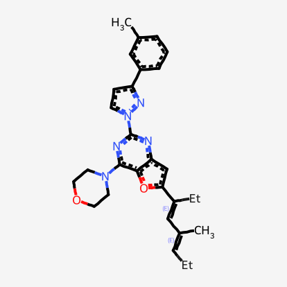 CC/C=C(C)/C=C(\CC)c1cc2nc(-n3ccc(-c4cccc(C)c4)n3)nc(N3CCOCC3)c2o1